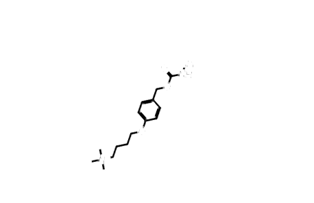 CC(C)NC(=O)OCc1ccc(OCCCC[N+](C)(C)C)cc1